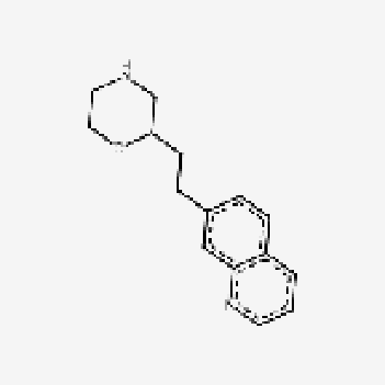 c1cnc2cc(CCC3CNCCO3)ccc2c1